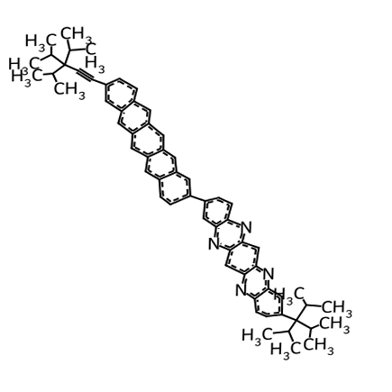 CC(C)C(C#Cc1ccc2cc3cc4cc5cc(-c6ccc7nc8cc9nc%10cc(C(C(C)C)(C(C)C)C(C)C)ccc%10nc9cc8nc7c6)ccc5cc4cc3cc2c1)(C(C)C)C(C)C